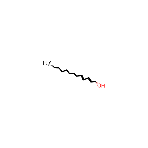 CCCCCCCC/C=C/C=C/CO